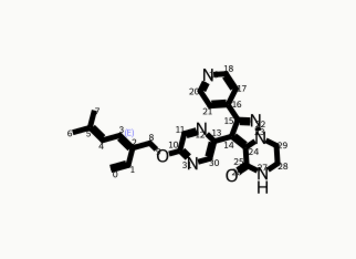 C=C/C(=C\C=C(C)C)COc1cnc(-c2c(-c3ccncc3)nn3c2C(=O)NCC3)cn1